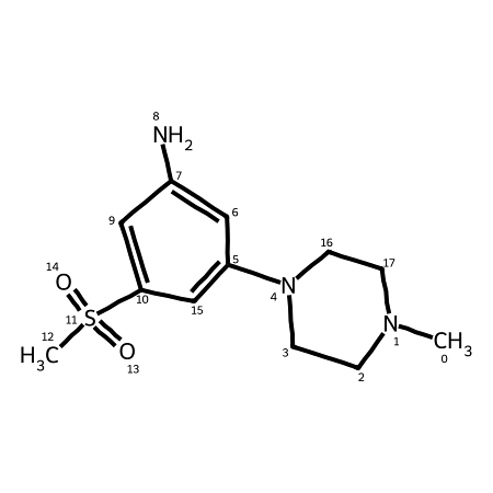 CN1CCN(c2cc(N)cc(S(C)(=O)=O)c2)CC1